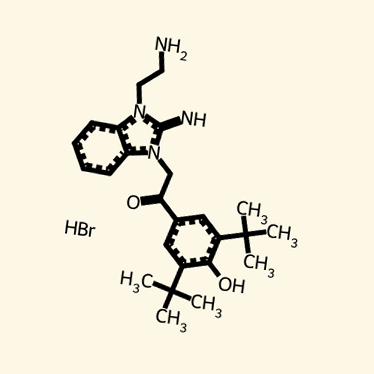 Br.CC(C)(C)c1cc(C(=O)Cn2c(=N)n(CCN)c3ccccc32)cc(C(C)(C)C)c1O